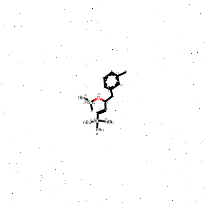 CCC[CH2][Sn](/[CH]=C/C(Cc1cccc(C)c1)O[SiH](C)C(C)(C)C)([CH2]CCC)[CH2]CCC